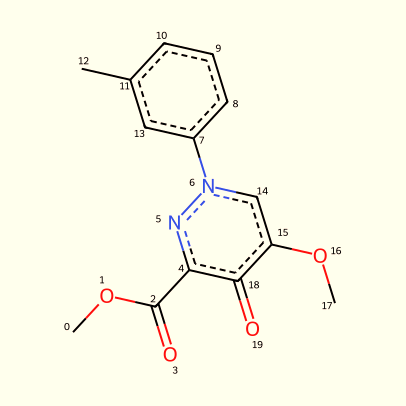 COC(=O)c1nn(-c2cccc(C)c2)cc(OC)c1=O